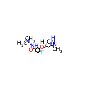 Cc1n[nH]c(C)c1CCCOc1cc(C(=O)NCCN(C)C)ccc1F